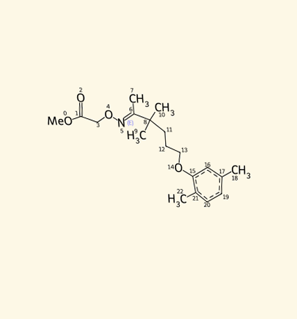 COC(=O)CO/N=C(\C)C(C)(C)CCCOc1cc(C)ccc1C